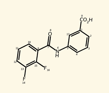 O=C(O)c1cccc(NC(=O)c2cccc(F)c2F)c1